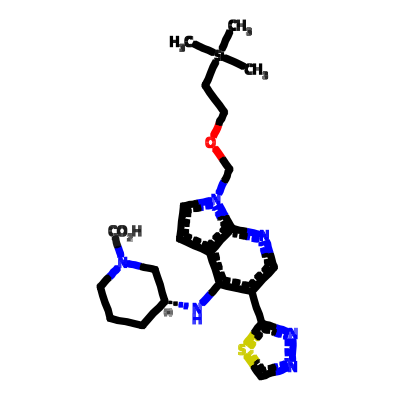 C[Si](C)(C)CCOCn1ccc2c(N[C@@H]3CCCN(C(=O)O)C3)c(-c3nncs3)cnc21